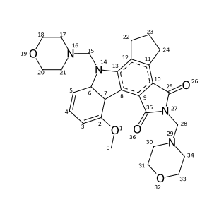 COC1=CC=CC2C1c1c3c(c4c(c1N2CN1CCOCC1)CCC4)C(=O)N(CN1CCOCC1)C3=O